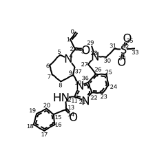 C=CC(=O)N1CCCCC(n2c(NC(=O)c3ccccc3)nc3cccc(CN(C)CCS(C)(=O)=O)c32)C1